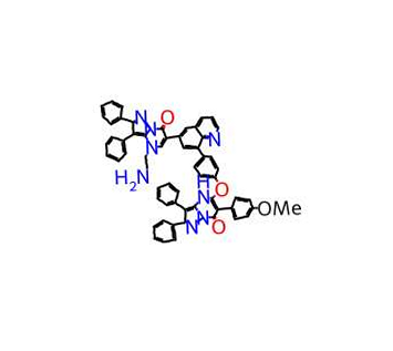 COc1ccc(-c2c(Oc3ccc(-c4cc(-c5cn(CCN)c6c(-c7ccccc7)c(-c7ccccc7)nn6c5=O)cc5cccnc45)cc3)[nH]c3c(-c4ccccc4)c(-c4ccccc4)nn3c2=O)cc1